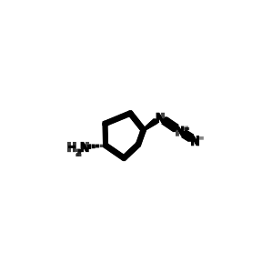 [N-]=[N+]=N[C@H]1CC[C@H](N)CC1